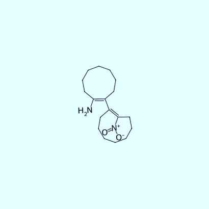 N/C1=C(\C2=C(\[N+](=O)[O-])CCCCCCC2)CCCCCCC1